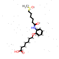 C[S+]([O-])CCCCCC(=O)Nc1ccccc1OCCCCCCC(=O)O